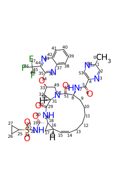 Cc1cnc(C(=O)N[C@H]2CCCCC/C=C\[C@@H]3C[C@@]3(C(=O)NS(=O)(=O)C3CC3)NC(=O)[C@@H]3C[C@@H](Oc4nc5ccccc5nc4C(F)(F)F)CN3C2=O)cn1